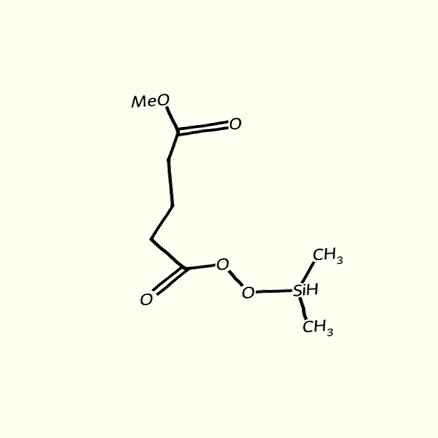 COC(=O)CCCC(=O)OO[SiH](C)C